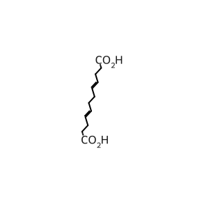 O=C(O)CCC=CCCC=CCCC(=O)O